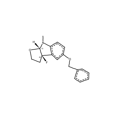 CN1c2ccc(OCc3ccccc3)cc2[C@]2(F)CCO[C@H]12